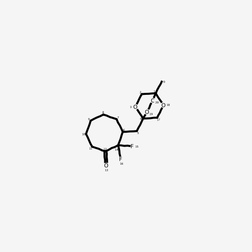 CC12COC(CC3CCCCCC(=O)C3(F)F)(CO1)OC2